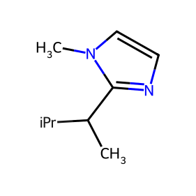 CC(C)C(C)c1nccn1C